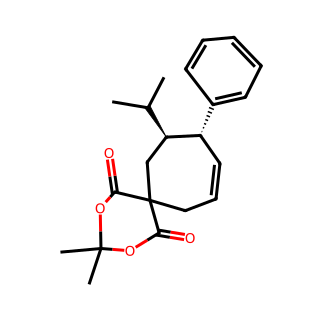 CC(C)[C@@H]1CC2(CC=C[C@H]1c1ccccc1)C(=O)OC(C)(C)OC2=O